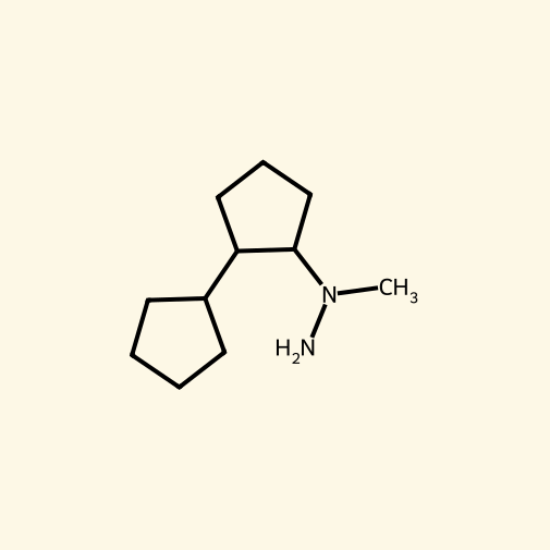 CN(N)C1CCCC1C1CCCC1